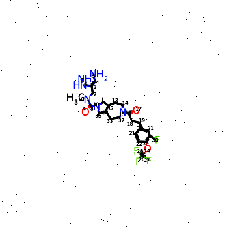 CN(C/C(=C/N)NN)C(=O)N1CC2CCN(C(=O)CCc3ccc(OC(F)(F)F)c(F)c3)CCC2C1